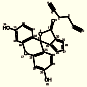 C#CCCC#C.O=C1OC2(c3ccc(O)cc3Oc3cc(O)ccc32)c2ccccc21